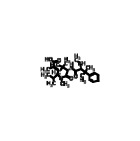 CN[C@H](C(=O)N[C@H](C(=O)N(C)C(/C=C(\C)C(=O)O)C(C)C)C(C)(C)C)C(C)(C)c1ccccc1